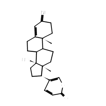 C[C@]12CCC(=N)C=C1CCC1C2CC[C@]2(C)[C@@H](c3ccc(=O)oc3)CC[C@]12O